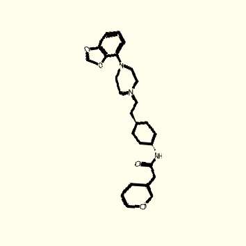 O=C(CC1CCCOC1)N[C@H]1CC[C@H](CCN2CCN(c3cccc4c3OCO4)CC2)CC1